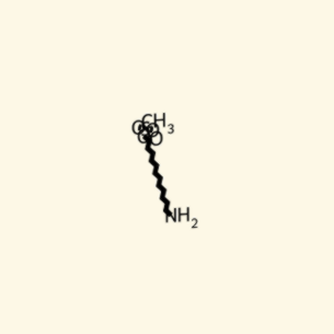 CS(=O)(=O)OC(=O)CCCCCCCCCCCN